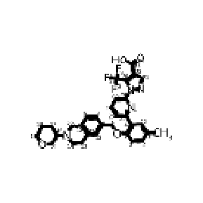 Cc1ccc(OCc2ccc3c(c2)CCN(C2CCCOC2)C3)c(-c2cccc(-n3ncc(C(=O)O)c3C(F)(F)F)n2)c1